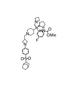 COC(=O)N[C@H]1CCC[C@@H]1[C@](CN1CCC1)(c1cccc(F)c1)C1CCN(CC2CN(c3ccc(S(=O)(=O)C4CC5CCC4C5)cc3)C2)CC1